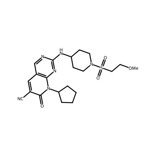 COCCS(=O)(=O)N1CCC(Nc2ncc3cc(C#N)c(=O)n(C4CCCC4)c3n2)CC1